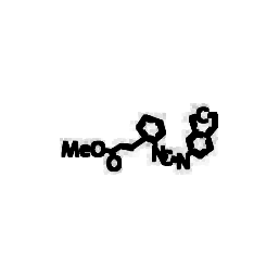 COC(=O)/C=C/c1ccccc1N=C=Nc1ccc2ccccc2c1